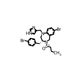 CCC[S+]([O-])N1Cc2cc(Br)ccc2N(Cc2c[nH]cn2)C[C@H]1Cc1ccc(Br)cc1